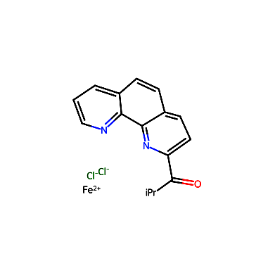 CC(C)C(=O)c1ccc2ccc3cccnc3c2n1.[Cl-].[Cl-].[Fe+2]